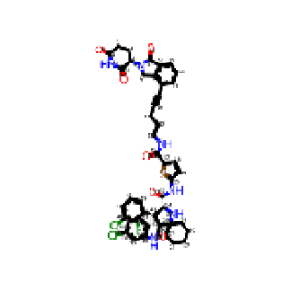 O=C1CCC(N2Cc3c(C#CCCCNC(=O)c4ccc(NC(=O)[C@@H]5NC6(CCCCC6)[C@@]6(C(=O)Nc7cc(Cl)ccc76)[C@H]5c5cccc(Cl)c5F)s4)cccc3C2=O)C(=O)N1